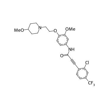 COc1cc(NC(=O)C#Cc2ccc(C(F)(F)F)cc2Cl)ccc1OCCN1CCC(OC)CC1